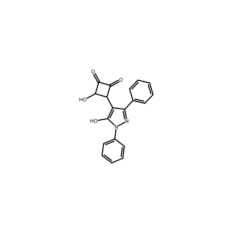 O=C1C(=O)C(c2c(-c3ccccc3)nn(-c3ccccc3)c2O)C1O